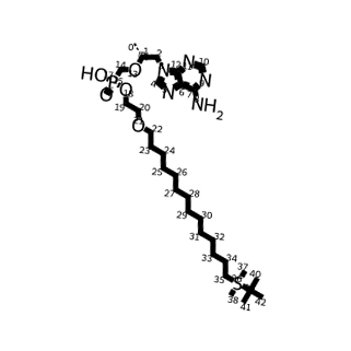 C[C@H](Cn1cnc2c(N)ncnc21)OCP(=O)(O)OCCOCCCCCCCCCCCCCCS(C)(C)C(C)(C)C